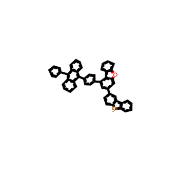 c1ccc(-c2c3ccccc3c(-c3ccc(-c4cc(-c5ccc6sc7ccccc7c6c5)cc5oc6ccccc6c45)cc3)c3ccccc23)cc1